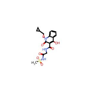 CS(=O)(=O)NC(=O)CNC(=O)c1c(O)c2ccccc2n(OCC2CC2)c1=O